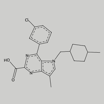 Cc1cn(CC2CCC(C)CC2)c2c(-c3cccc(Cl)c3)nc(C(=O)O)nc12